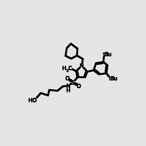 Cc1c(S(=O)(=O)NCCCCCO)cc(-c2cc(C(C)(C)C)cc(C(C)(C)C)c2)n1CC1CCCCC1